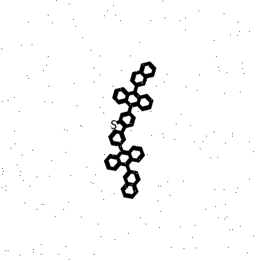 c1ccc2cc(-c3c4ccccc4c(-c4ccc5c(c4)sc4ccc(-c6c7ccccc7c(-c7ccc8ccccc8c7)c7ccccc67)cc45)c4ccccc34)ccc2c1